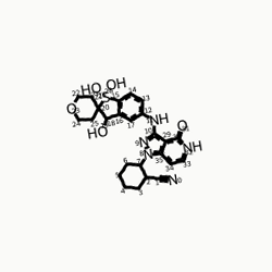 N#CC1CCCCC1n1nc(Nc2ccc3c(c2)C(O)C2(CCOCC2)S3(O)O)c2c(=O)[nH]ccc21